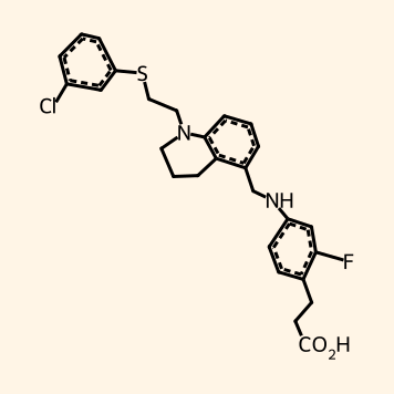 O=C(O)CCc1ccc(NCc2cccc3c2CCCN3CCSc2cccc(Cl)c2)cc1F